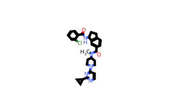 CN(C(=O)c1ccc2c(c1)C(NC(=O)c1ccccc1Cl)CC2)C1CCN(c2ccnc(C3CC3)n2)CC1